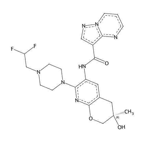 C[C@]1(O)COc2nc(N3CCN(CC(F)F)CC3)c(NC(=O)c3cnn4cccnc34)cc2C1